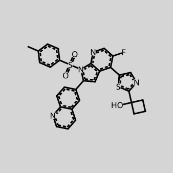 Cc1ccc(S(=O)(=O)n2c(-c3ccc4ncccc4c3)cc3c(-c4cnc(C5(O)CCC5)s4)c(F)cnc32)cc1